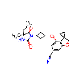 CC[C@@]1(C)NC(=O)N(C2CC(Oc3cc(C#N)cc4c3C3(CC3)CO4)C2)C1=O